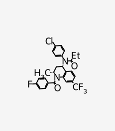 CCC(=O)N(c1ccc(Cl)cc1)[C@H]1C[C@@H](C)N(C(=O)c2ccc(F)cc2)c2cc(C(F)(F)F)ccc21